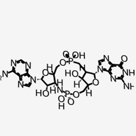 Nc1nc2c(ncn2[C@@H]2O[C@@H]3COP(=O)(O)N[C@H]4[C@@H](O)[C@H](n5cnc6c(N)ncnc65)O[C@@H]4COP(=O)(O)C[C@@H]2[C@@H]3O)c(=O)[nH]1